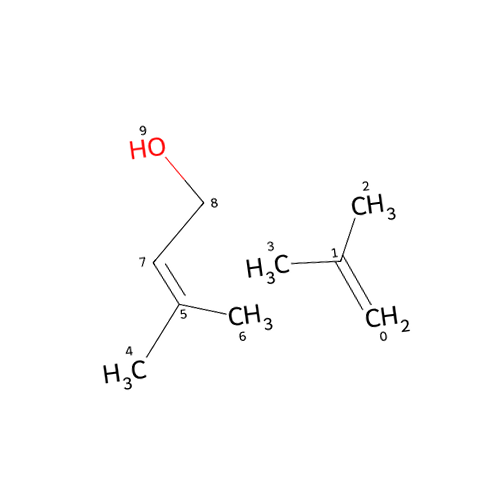 C=C(C)C.CC(C)=CCO